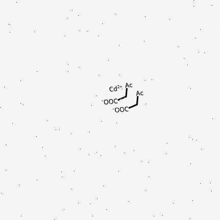 CC(=O)CC(=O)[O-].CC(=O)CC(=O)[O-].[Cd+2]